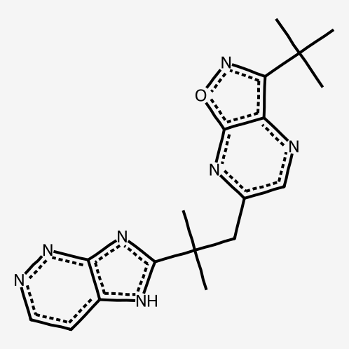 CC(C)(C)c1noc2nc(CC(C)(C)c3nc4nnccc4[nH]3)cnc12